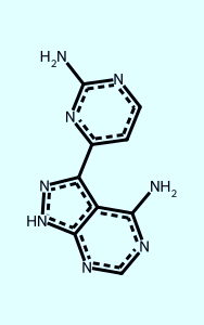 Nc1nccc(-c2n[nH]c3ncnc(N)c23)n1